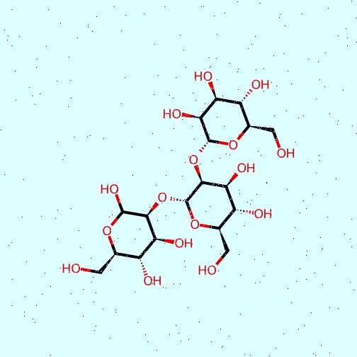 OC[C@H]1O[C@H](O[C@@H]2[C@@H](O[C@@H]3C(O)O[C@H](CO)[C@@H](O)[C@@H]3O)O[C@H](CO)[C@@H](O)[C@@H]2O)[C@@H](O)[C@@H](O)[C@@H]1O